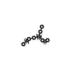 c1ccc(-c2ccc(-c3nc(-c4ccc(-c5ccc6oc(-c7ccccc7)nc6c5)cc4)nc(-c4ccc5oc6ccccc6c5c4)n3)cc2)cc1